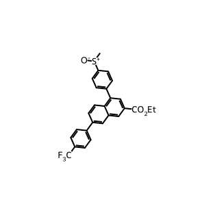 CCOC(=O)c1cc(-c2ccc([S+](C)[O-])cc2)c2ccc(-c3ccc(C(F)(F)F)cc3)cc2c1